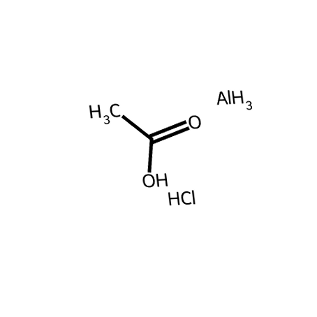 CC(=O)O.Cl.[AlH3]